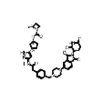 C[C@H]1CCN1C(=O)O[C@@H]1CC[C@H](c2cc(NC(=O)Cc3ccc(CN4CCN(c5ccc6c(c5)C(=O)N(C5CCC(=O)NC5=O)C6=O)CC4)cc3)n[nH]2)C1